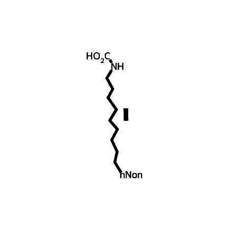 C=C.CCCCCCCCCCCCCCCCCCNC(=O)O